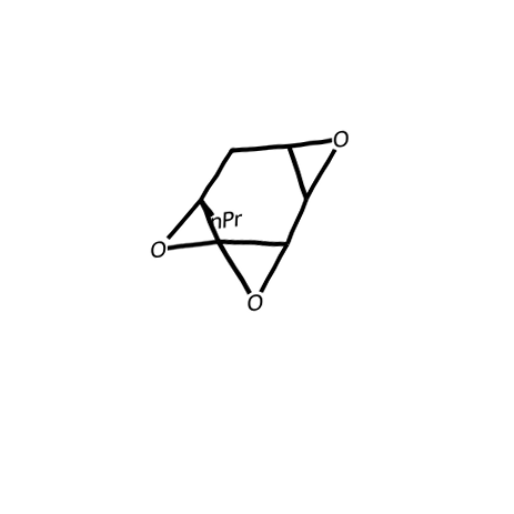 CCCC12CC3OC3C3OC31O2